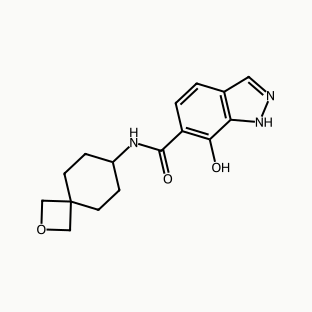 O=C(NC1CCC2(CC1)COC2)c1ccc2cn[nH]c2c1O